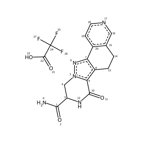 NC(=O)C1Cn2nc3c(c2C(=O)N1)CCc1cnccc1-3.O=C(O)C(F)(F)F